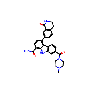 CN1CCN(C(=O)c2ccc3c(c2)[nH]c2c(C(N)=O)ccc(-c4ccc5c(c4)C(=O)NCC5)c23)CC1